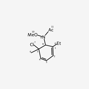 CCC1=CC=CC(C)(Cl)C1N(OC)C(C)=O